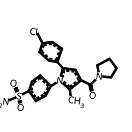 Cc1c(C(=O)N2CCCC2)cc(-c2ccc(Cl)cc2)n1-c1ccc(S(N)(=O)=O)cc1